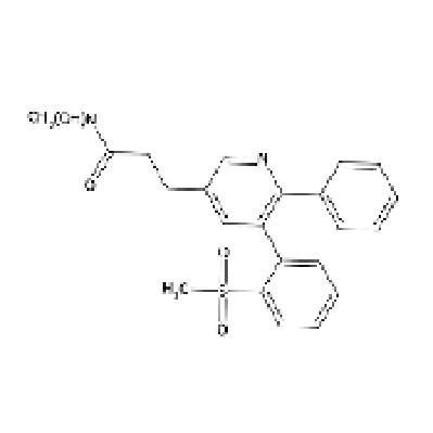 CN(O)C(=O)CCc1cnc(-c2ccccc2)c(-c2ccccc2S(C)(=O)=O)c1